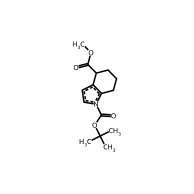 COC(=O)C1CCCc2c1ccn2C(=O)OC(C)(C)C